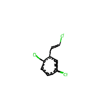 ClC=Cc1cc(Cl)ccc1Cl